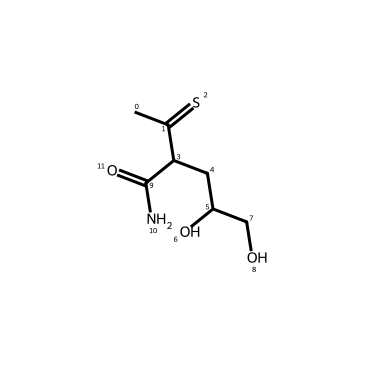 CC(=S)C(CC(O)CO)C(N)=O